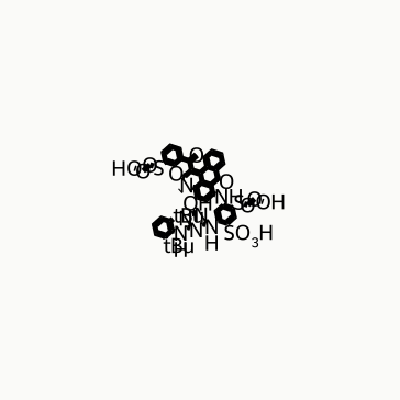 Cn1c(=O)c(C(=O)c2cccc(SOOO)c2)c2c3c(c(Nc4cc(Nc5nc(O)nc(Nc6c(C(C)(C)C)cccc6C(C)(C)C)n5)c(S(=O)(=O)O)cc4SOOO)ccc31)C(=O)c1ccccc1-2